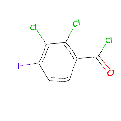 O=C(Cl)c1ccc(I)c(Cl)c1Cl